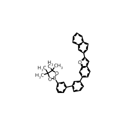 CC1(C)OB(c2cccc(-c3cccc(-c4ccc5cc(-c6ccc7ccccc7c6)oc5c4)c3)c2)OC1(C)C